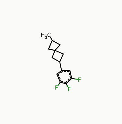 CC1CC2(C1)CC(c1cc(F)c(F)c(F)c1)C2